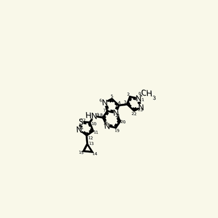 Cn1cc(-c2cnc3c(Nc4cc(C5CC5)ns4)nccn23)cn1